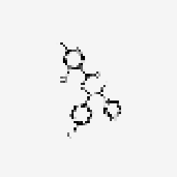 S=C(OC(c1ccc(Cl)cc1)C(Cl)n1ccnc1)c1ccc(Cl)cc1Cl